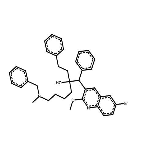 COc1nc2ccc(Br)cc2cc1C(c1ccccc1)C(O)(CCCCN(C)Cc1ccccc1)CCc1ccccc1